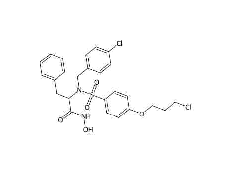 O=C(NO)C(Cc1ccccc1)N(Cc1ccc(Cl)cc1)S(=O)(=O)c1ccc(OCCCCl)cc1